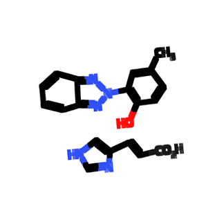 Cc1ccc(O)c(-n2nc3ccccc3n2)c1.O=C(O)/C=C/c1c[nH]cn1